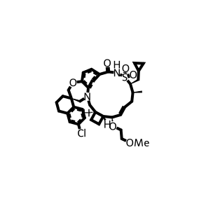 COCCO[C@H]1/C=C/C[C@H](C)[C@H](CC2CC2)S(=O)(=O)NC(=O)c2ccc3c(c2)N(C[C@@H]2CC[C@H]21)C[C@@]1(CCCc2cc(Cl)ccc21)CO3